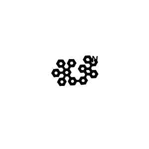 c1ccc(-c2cc(-c3cccc(-c4cccc(-c5c6ccccc6c(-c6ccnc7ccccc67)c6ccccc56)c4)c3)c(-c3ccccc3)c(-c3ccccc3)c2-c2ccccc2)cc1